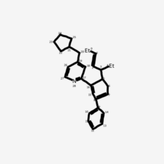 CCC=CC(CC)C1CC=C(c2ccccc2)C=C1c1cc(CC2CCCC2)ccn1